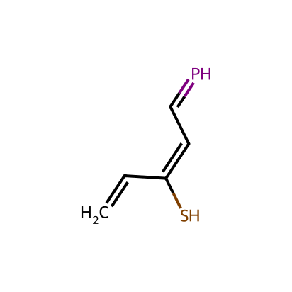 C=C/C(S)=C\C=P